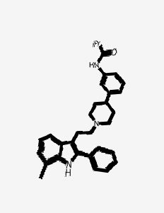 Cc1cccc2c(CCN3CCC(c4cccc(NC(=O)C(C)C)c4)CC3)c(-c3ccccc3)[nH]c12